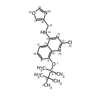 CC(C)(C)[Si](C)(C)Oc1cccc2c(NCc3cocn3)nc(Cl)nc12